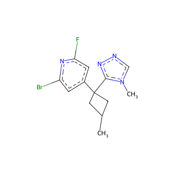 CC1CC(c2cc(F)nc(Br)c2)(c2nncn2C)C1